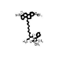 CCC[C@@H](CCCCCCCCC[C@@H]1Cc2cc(OC)ccc2C2CC[C@@]3(C)C(CC[C@@H]3O)C21)C(=O)N1C(=O)N(C)[C@@H](C)[C@H]1c1ccccc1